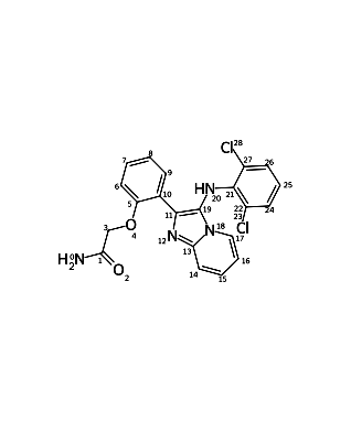 NC(=O)COc1ccccc1-c1nc2ccccn2c1Nc1c(Cl)cccc1Cl